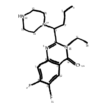 CCCC(c1nc2cc(F)c(F)cc2c(=O)n1CC)N1CCNCC1